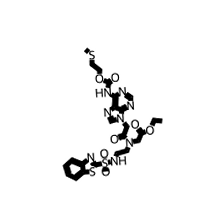 CCOC(=O)CN(CCNS(=O)(=O)c1nc2ccccc2s1)C(=O)Cn1cnc2c(NC(=O)OCCSC)ncnc21